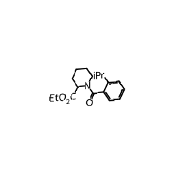 CCOC(=O)C1CCCCN1C(=O)c1ccccc1C(C)C